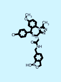 COc1ccc2c(c1)C(c1ccc(Cl)cc1)=N[C@@H](CC(=O)NCc1ccc3c(c1)B(O)OC3)c1nnc(C)n1-2